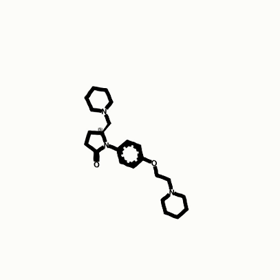 O=C1CC[C@@H](CN2CCCCC2)N1c1ccc(OCCN2CCCCC2)cc1